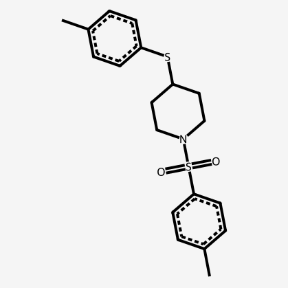 Cc1ccc(SC2CCN(S(=O)(=O)c3ccc(C)cc3)CC2)cc1